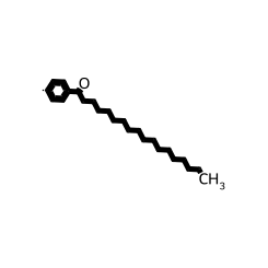 CCCCCCCCCCCCCCCCCC(=O)c1cc[c]cc1